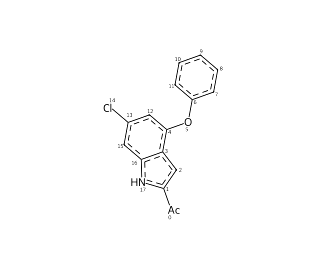 CC(=O)c1cc2c(Oc3ccccc3)cc(Cl)cc2[nH]1